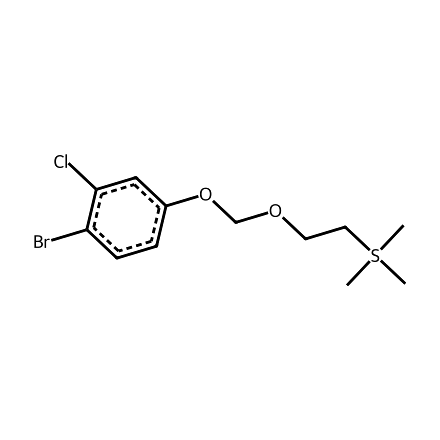 CS(C)(C)CCOCOc1ccc(Br)c(Cl)c1